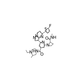 CCN(CC)C(C)CNC(=O)c1cc(-c2cnn3ccc(-c4ccc(F)s4)nc23)nc(N2CCC2C(=O)NC)c1